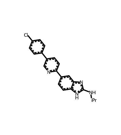 CC(C)Nc1nc2cc(-c3ccc(-c4ccc(Cl)cc4)cn3)ccc2[nH]1